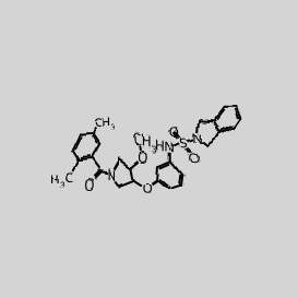 COC1CN(C(=O)c2cc(C)ccc2C)CC1Oc1cccc(NS(=O)(=O)N2Cc3ccccc3C2)c1